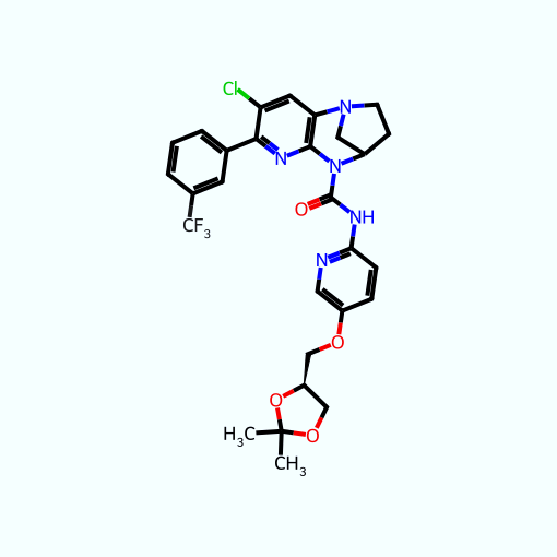 CC1(C)OC[C@H](COc2ccc(NC(=O)N3c4nc(-c5cccc(C(F)(F)F)c5)c(Cl)cc4N4CCC3C4)nc2)O1